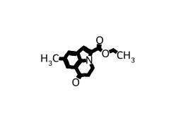 CCOC(=O)c1cc2cc(C)cc3c2n1CCC3=O